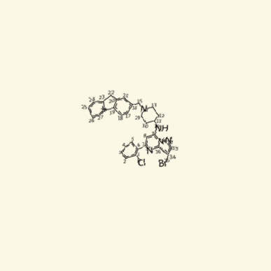 Clc1ccccc1-c1cc(NC2CCN(Cc3ccc4c(c3)Cc3ccccc3-4)CC2)n2ncc(Br)c2n1